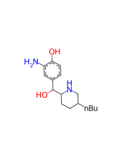 CCCCC1CCC(C(O)c2ccc(O)c(N)c2)NC1